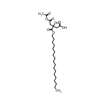 CCCCCCCCCCCCCCCCCCOC(=O)C(O)(CC(=O)O)CC(=O)OC(C)=O